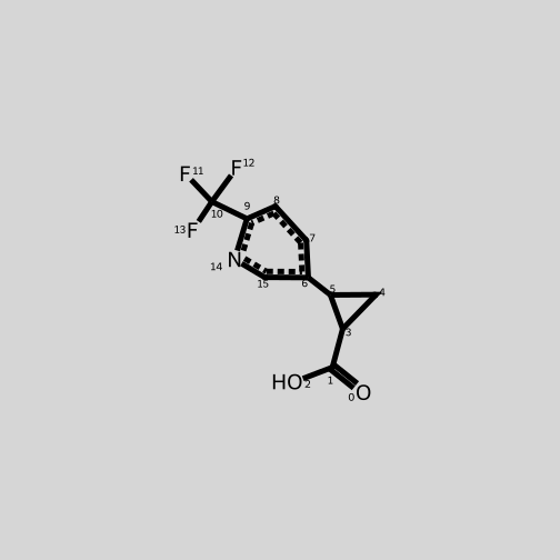 O=C(O)C1CC1c1ccc(C(F)(F)F)nc1